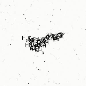 Cc1cnc(Nc2cc(C)n(C)n2)nc1-c1c[nH]c2c(NC(=O)CN3CCC(Oc4ncc(F)c(N5CCOCC5)n4)C3)cccc12